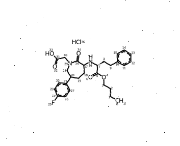 CCCCOC(=O)[C@H](CCc1ccccc1)NC1CCC(c2ccc(F)cc2)CN(CC(=O)O)C1=O.Cl